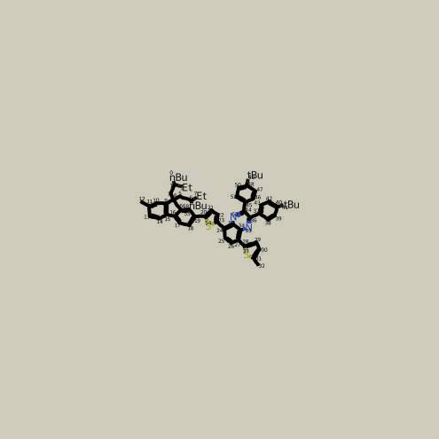 CCCCC(CC)CC1(CC(CC)CCCC)c2cc(C)ccc2-c2ccc(-c3ccc(-c4ccc(-c5ccc(C)s5)c5nc(-c6ccc(C(C)(C)C)cc6)c(-c6ccc(C(C)(C)C)cc6)nc45)s3)cc21